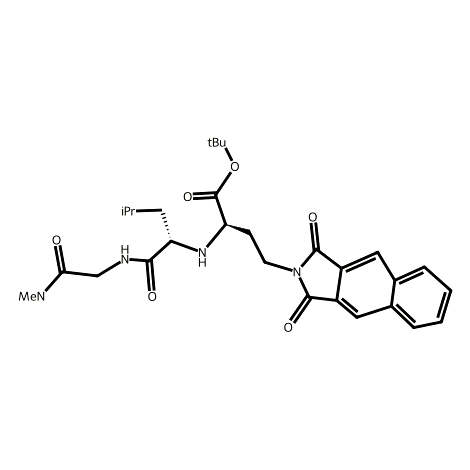 CNC(=O)CNC(=O)[C@H](CC(C)C)N[C@H](CCN1C(=O)c2cc3ccccc3cc2C1=O)C(=O)OC(C)(C)C